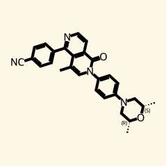 Cc1cn(-c2ccc(N3C[C@@H](C)O[C@@H](C)C3)cc2)c(=O)c2ccnc(-c3ccc(C#N)cc3)c12